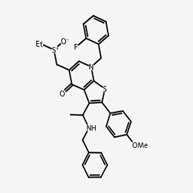 CC[S+]([O-])Cc1cn(Cc2ccccc2F)c2sc(-c3ccc(OC)cc3)c(C(C)NCc3ccccc3)c2c1=O